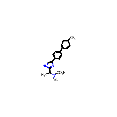 CCCCN(C(=O)O)C(C)c1nc(-c2ccc(-c3ccc(C(F)(F)F)cc3)cc2)c[nH]1